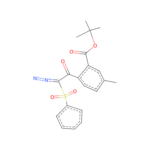 Cc1ccc(C(=O)C(=[N+]=[N-])S(=O)(=O)c2ccccc2)c(C(=O)OC(C)(C)C)c1